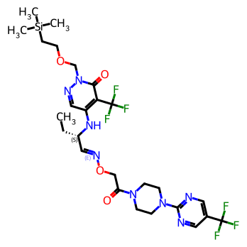 CC[C@@H](/C=N/OCC(=O)N1CCN(c2ncc(C(F)(F)F)cn2)CC1)Nc1cnn(COCC[Si](C)(C)C)c(=O)c1C(F)(F)F